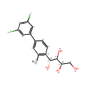 Cc1cc(-c2cc(F)cc(F)c2)ccc1[C@@H](O)C(O)[C@H](O)CO